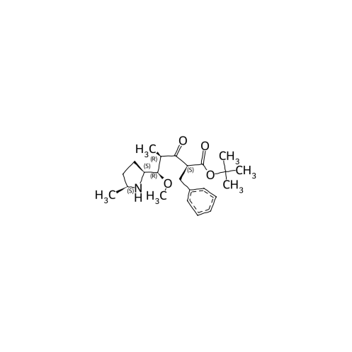 CO[C@@H]([C@@H]1CC[C@H](C)N1)[C@@H](C)C(=O)[C@H](Cc1ccccc1)C(=O)OC(C)(C)C